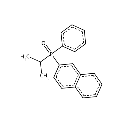 CC(C)P(=O)(c1ccccc1)c1ccc2ccccc2c1